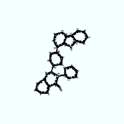 O=c1c2ccccc2nc(-c2ccc(-c3cccc4c3oc3ccccc34)cc2)n1-c1ccccc1